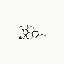 CCCCC12CCc3cc(O)ccc3C1=C(C)C(=O)C2